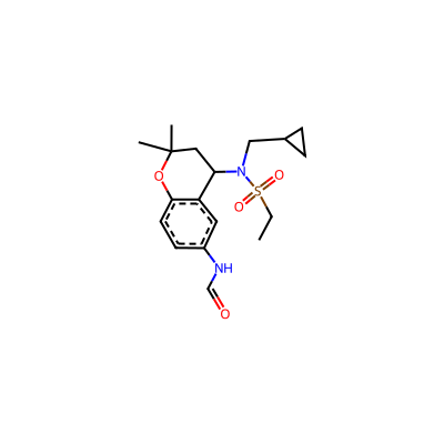 CCS(=O)(=O)N(CC1CC1)C1CC(C)(C)Oc2ccc(NC=O)cc21